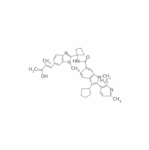 C=C(O)/C(C)=C/c1ccc2nc(C3(NC(=O)c4ccc5c(C6CCCC6)c(-c6ccc(C)nc6C)n(C)c5c4)CCC3)n(C)c2c1